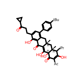 CC(=O)C1=C(O)C(C(C)C)[C@@]2(C)C[C@@]3(C)Cc4c(-c5ccc(C(C)(C)C)cc5)cc(CCC(=O)C5CC5)c(O)c4C(=O)C3=C(O)[C@@]2(O)C1=O